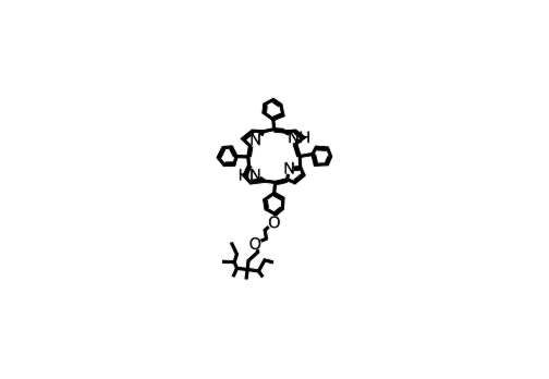 CCC(C)C(C)C(C)(CCOCCOc1ccc(-c2c3nc(c(-c4ccccc4)c4ccc([nH]4)c(-c4ccccc4)c4nc(c(-c5ccccc5)c5ccc2[nH]5)C=C4)C=C3)cc1)C(C)CC